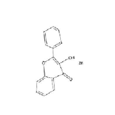 O=c1c(O)c(-c2ccccc2)oc2ccccc12.[Zn]